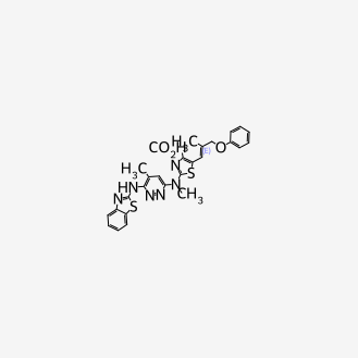 C/C(=C\c1sc(N(C)c2cc(C)c(Nc3nc4ccccc4s3)nn2)nc1C(=O)O)COc1ccccc1